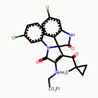 CCOC(=O)CNC1=C(C(=O)C2(C)CC2)C2(C(=O)Nc3cc(Cl)ccc32)N(c2cccc(Cl)c2)C1=O